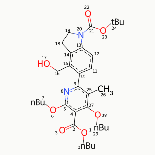 CCCCOC(=O)c1c(OCCCC)nc(-c2ccc3c(c2CO)CCN3C(=O)OC(C)(C)C)c(C)c1OCCCC